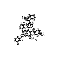 CCCN(C(=O)[C@H](CCCC(=O)OCc1ccccc1)N(Cc1ccccc1)C(=O)c1c[nH]c2ccccc12)[C@H](CC(N)=O)Cc1ccc(CC)cc1